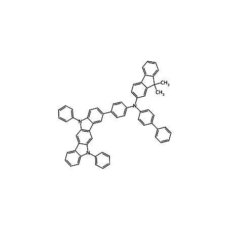 CC1(C)c2ccccc2-c2ccc(N(c3ccc(-c4ccccc4)cc3)c3ccc(-c4ccc5c(c4)c4cc6c(cc4n5-c4ccccc4)c4ccccc4n6-c4ccccc4)cc3)cc21